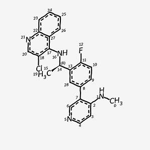 CNc1ccncc1-c1ccc(F)c([C@@H](C)Nc2c(Cl)cnc3ccccc23)c1